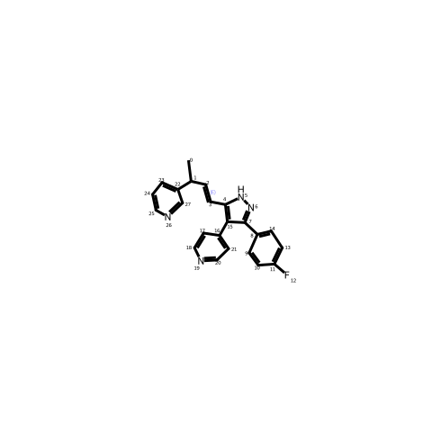 CC(/C=C/c1[nH]nc(-c2ccc(F)cc2)c1-c1ccncc1)c1cccnc1